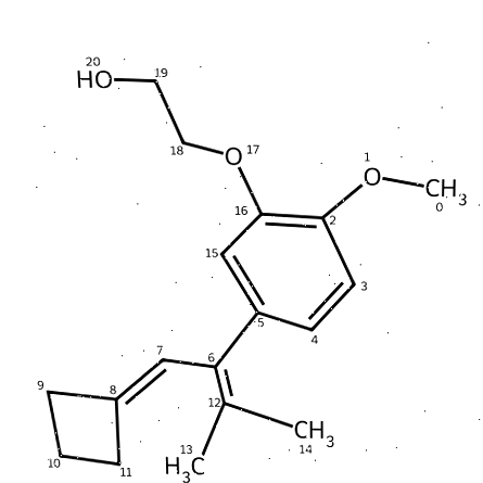 COc1ccc(C(C=C2CCC2)=C(C)C)cc1OCCO